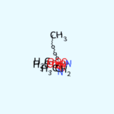 C=C(C)C(=O)OCCCc1cc(-c2ccc(CCc3ccc(CCCCCCCC)cc3)cc2)ccc1OCC(COC(=O)CC#N)(COC(=O)CC#N)COC(=O)C(=C)C